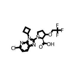 O=C(O)[C@@H]1C(OCC(F)(F)F)CCN1c1nc2ccc(Cl)nc2n1C1CCC1